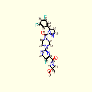 COC1(C)CN(C(=O)c2nc(N3CCN(C(=O)N4N=CCC4c4cc(F)cc(F)c4)CC3)ncc2F)C1